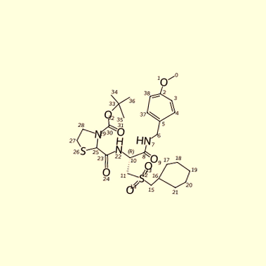 COc1ccc(CNC(=O)[C@H](CS(=O)(=O)CC2CCCCC2)NC(=O)C2SCCN2C(=O)OC(C)(C)C)cc1